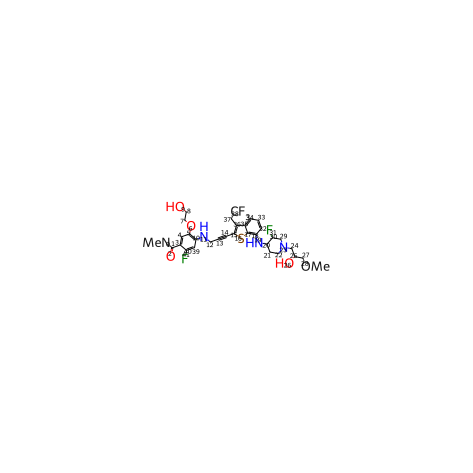 CNC(=O)c1cc(OCCO)c(NCC#Cc2sc3c(NC4CCN(CC(O)COC)CC4F)cccc3c2CC(F)(F)F)cc1F